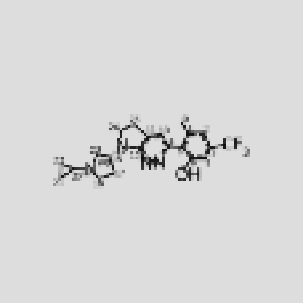 Cc1cc(C(F)(F)F)cc(O)c1-c1cc2c(nn1)N([C@@H]1CCN(C3CC3)C1)CC2